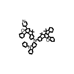 CC1(C)c2cc(N(c3ccc4c(c3)C(C)(C)c3c5c(c6c(oc7ccccc76)c3-4)-c3ccccc3C5(C)C)c3ccc4c5ccccc5n(-c5ccccc5)c4c3)ccc2-c2c1cc(-c1ccncc1)c1oc3ccccc3c21